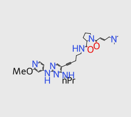 CCCNc1nc(Nc2ccnc(OC)c2)ncc1C#CCCCNC(=O)C1CCCN1C(=O)C=CCN(C)C